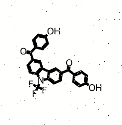 O=C(c1ccc(O)cc1)c1ccc2c(c1)c1cc(C(=O)c3ccc(O)cc3)ccc1n2C(F)(F)F